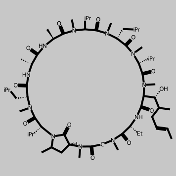 C/C=C/CC(C)[C@@H](O)C1C(=O)N[C@H](CC)C(=O)N(C)CC(=O)N(C)[C@@H]2CC(C)N(C2=O)[C@H](C(C)C)C(=O)N(C)[C@H](CC(C)C)C(=O)N[C@H](C)C(=O)N[C@@H](C)C(=O)N(C)C(C(C)C)C(=O)N(C)[C@H](CC(C)C)C(=O)N(C)[C@H](C(C)C)C(=O)N1C